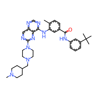 Cc1ccc(C(=O)Nc2cccc(C(C)(C)C)c2)cc1Nc1ncnc2cnc(N3CCN(CC4CCN(C)CC4)CC3)nc12